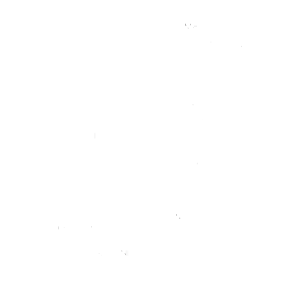 COC(=O)CCOCCOCC[N+](C)(C)CCNC(=O)OC(C)(C)C.[I-]